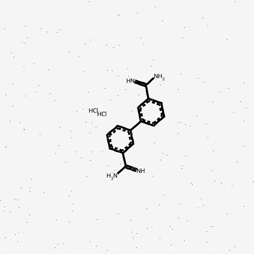 Cl.Cl.N=C(N)c1cccc(-c2cccc(C(=N)N)c2)c1